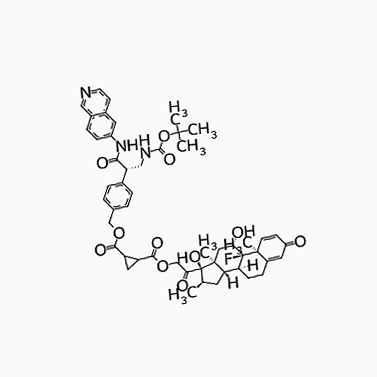 C[C@@H]1C[C@H]2[C@@H]3CCC4=CC(=O)C=C[C@]4(C)[C@@]3(F)[C@@H](O)C[C@]2(C)[C@@]1(O)C(=O)COC(=O)C1CC1C(=O)OCc1ccc([C@@H](CNC(=O)OC(C)(C)C)C(=O)Nc2ccc3cnccc3c2)cc1